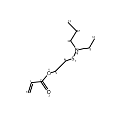 C=CC(=O)OCCSN(CC)CCC